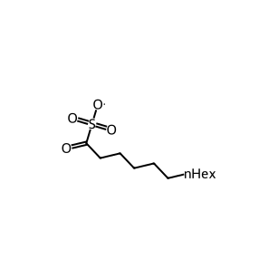 CCCCCCCCCCCC(=O)S([O])(=O)=O